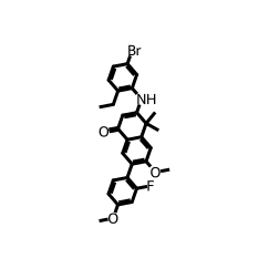 CCc1ccc(Br)cc1NC1=CC(=O)c2cc(-c3ccc(OC)cc3F)c(OC)cc2C1(C)C